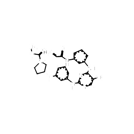 C=CC(=O)Nc1cccc(Nc2nc(Nc3cccc(O[C@@H]4CCN(C(=O)OC(C)(C)C)C4)c3)ncc2C(F)(F)F)c1